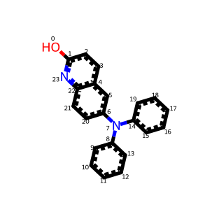 Oc1ccc2cc(N(c3ccccc3)c3ccccc3)ccc2n1